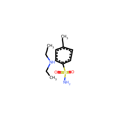 CCNCC.Cc1ccc(S(N)(=O)=O)cc1